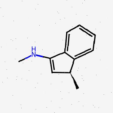 CNC1=C[C@H](C)c2ccccc21